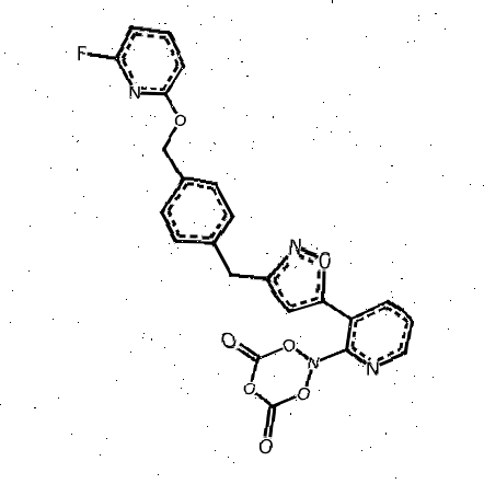 O=C1OC(=O)ON(c2ncccc2-c2cc(Cc3ccc(COc4cccc(F)n4)cc3)no2)O1